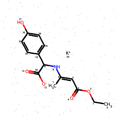 CCOC(=O)/C=C(\C)NC(C(=O)[O-])c1ccc(O)cc1.[K+]